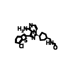 Nc1nccn2c1c(-c1cc3cccc(Cl)c3s1)nc2[C@H]1CC[C@H](CNC=O)CC1